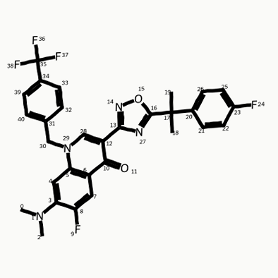 CN(C)c1cc2c(cc1F)c(=O)c(-c1noc(C(C)(C)c3ccc(F)cc3)n1)cn2Cc1ccc(C(F)(F)F)cc1